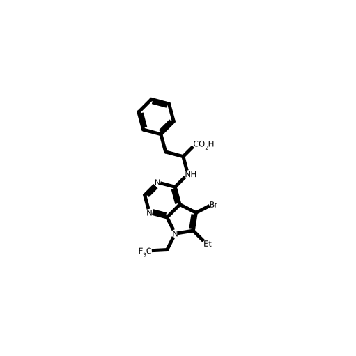 CCc1c(Br)c2c(NC(Cc3ccccc3)C(=O)O)ncnc2n1CC(F)(F)F